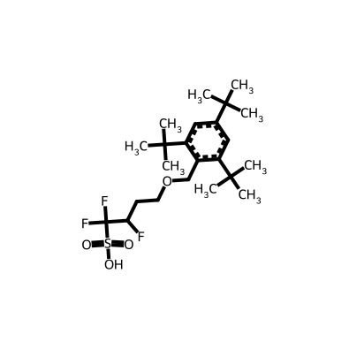 CC(C)(C)c1cc(C(C)(C)C)c(COCCC(F)C(F)(F)S(=O)(=O)O)c(C(C)(C)C)c1